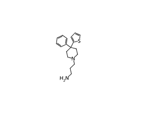 NCCCN1CCC(c2ccccc2)(c2cccs2)CC1